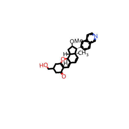 CO[C@@H]1C[C@H]2[C@@H]3OC4=C(C=C3C=C[C@]2(C)[C@H]1c1ccc2cnccc2c1)C(=O)CC(CO)C4